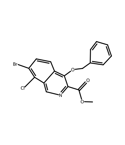 COC(=O)c1ncc2c(Cl)c(Br)ccc2c1OCc1ccccc1